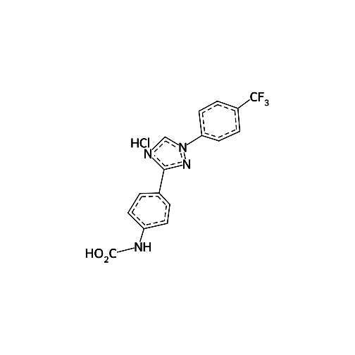 Cl.O=C(O)Nc1ccc(-c2ncn(-c3ccc(C(F)(F)F)cc3)n2)cc1